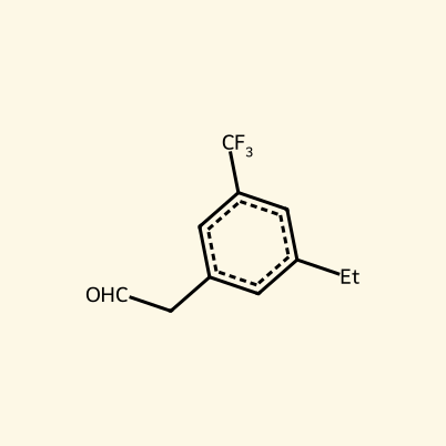 CCc1cc(CC=O)cc(C(F)(F)F)c1